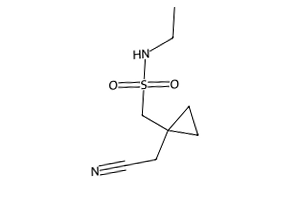 CCNS(=O)(=O)CC1(CC#N)CC1